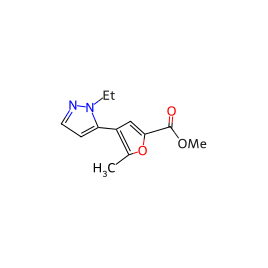 CCn1nccc1-c1cc(C(=O)OC)oc1C